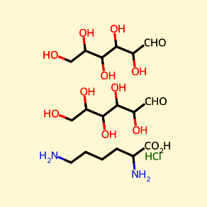 Cl.NCCCCC(N)C(=O)O.O=CC(O)C(O)C(O)C(O)CO.O=CC(O)C(O)C(O)C(O)CO